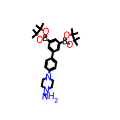 CC1(C)OB(c2cc(B3OC(C)(C)C(C)(C)O3)cc(-c3ccc(N4CCN(N)CC4)cc3)c2)OC1(C)C